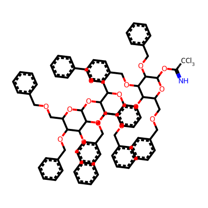 N=C(OC1OC(COCc2ccccc2)C(OC2OC(COCc3ccccc3)C(OC3OC(COCc4ccccc4)C(OCc4ccccc4)C(OCc4ccccc4)C3OCc3ccccc3)C(OCc3ccccc3)C2OCc2ccccc2)C(OCc2ccccc2)C1OCc1ccccc1)C(Cl)(Cl)Cl